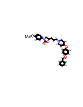 COc1ccc(N2CC(CCCN3CCC(Oc4ccc(OCc5ccccc5)cc4)CC3)OC2=O)cc1